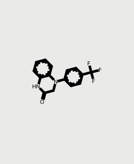 O=C1CN(c2ccc(C(F)(F)F)cc2)c2ccccc2N1